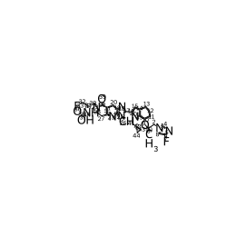 C[C@@H](Cn1cnc(F)c1)Oc1cccc2cc(-c3nc4cc5c(nc4n3C)CCN(C[C@@H](CF)NC(=O)O)C5=O)n(CC3CC3)c12